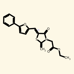 C=c1s/c(=C\c2ccc(-c3ccccc3)o2)c(=O)n1CC(=O)OCC